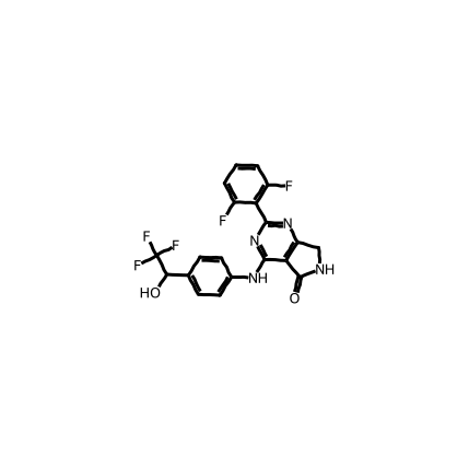 O=C1NCc2nc(-c3c(F)cccc3F)nc(Nc3ccc(C(O)C(F)(F)F)cc3)c21